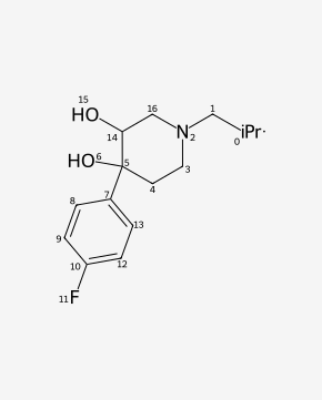 C[C](C)CN1CCC(O)(c2ccc(F)cc2)C(O)C1